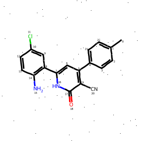 Cc1ccc(-c2cc(-c3cc(Cl)ccc3N)[nH]c(=O)c2C#N)cc1